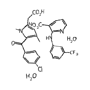 Cc1cc(CC(=O)O)n(C)c1C(=O)c1ccc(Cl)cc1.O.O.O=C(O)c1cccnc1Nc1cccc(C(F)(F)F)c1